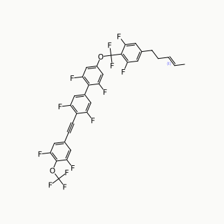 C/C=C/CCc1cc(F)c(C(F)(F)Oc2cc(F)c(-c3cc(F)c(C#Cc4cc(F)c(OC(F)(F)F)c(F)c4)c(F)c3)c(F)c2)c(F)c1